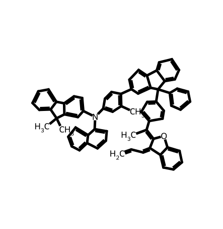 C=C/C=c1\c(=C(/C)c2ccc(C3(c4ccccc4)c4ccccc4-c4ccc(-c5ccc(N(c6ccc7c(c6)C(C)(C)c6ccccc6-7)c6cccc7ccccc67)cc5C)cc43)cc2)oc2ccccc12